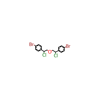 ClC(COCC(Cl)c1ccc(Br)cc1)c1ccc(Br)cc1